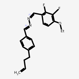 C=CCCc1ccc(/C=N/N=C\c2ccc(OCC)c(F)c2F)cc1